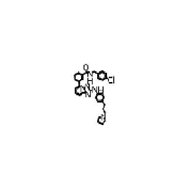 O=C(NCc1ccc(Cl)cc1)c1cccc(-c2cccc3nc(Nc4ccc(CCCN5CCCC5)cc4)nn23)c1